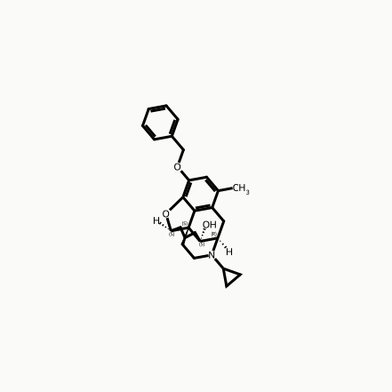 Cc1cc(OCc2ccccc2)c2c3c1C[C@H]1N(C4CC4)CC[C@@]34[C@H](CCC[C@@]14O)O2